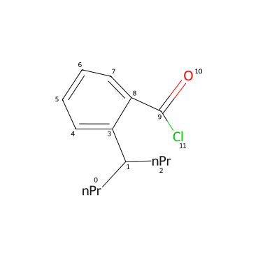 CCCC(CCC)c1ccccc1C(=O)Cl